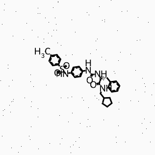 Cc1ccc(S(=O)(=O)Nc2ccc(NC(=O)N[C@H](Cc3ccccc3)C(=O)NCC3CCCC3)cc2)cc1